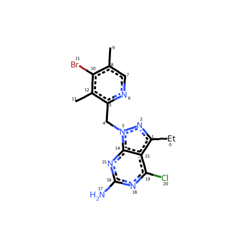 CCc1nn(Cc2ncc(C)c(Br)c2C)c2nc(N)nc(Cl)c12